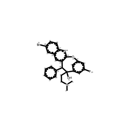 CN(C)CCC1(O)c2cc(F)cc(c2)Oc2nc3ccc(Br)cc3cc2C1c1ccccc1